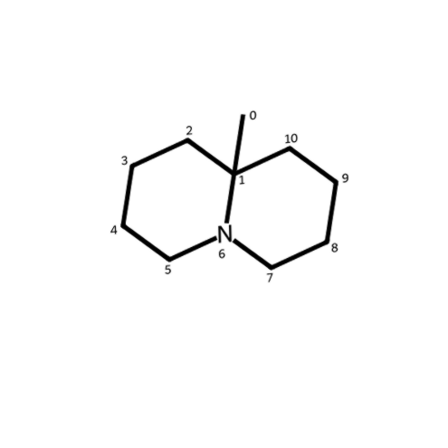 CC12CCCCN1CCCC2